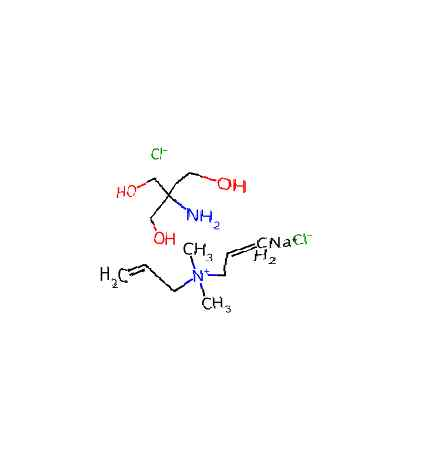 C=CC[N+](C)(C)CC=C.NC(CO)(CO)CO.[Cl-].[Cl-].[Na+]